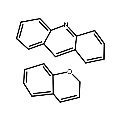 C1=Cc2ccccc2OC1.c1ccc2nc3ccccc3cc2c1